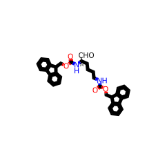 O=C[C@H](CCCCNC(=O)OCC1c2ccccc2-c2ccccc21)NC(=O)OCC1c2ccccc2-c2ccccc21